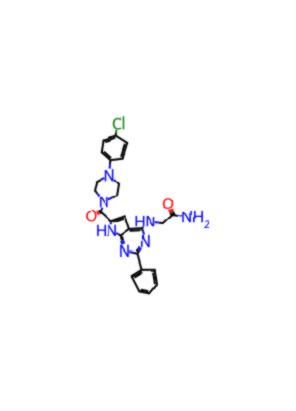 NC(=O)CNc1nc(-c2ccccc2)nc2[nH]c(C(=O)N3CCN(c4ccc(Cl)cc4)CC3)cc12